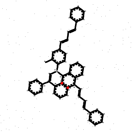 Cc1cc(C=CC=Cc2ccccc2)ccc1N(C=C(c1ccccc1)c1ccccc1)c1ccc(C=CC=Cc2ccccc2)c2ccccc12